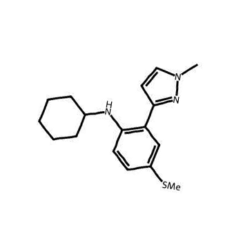 CSc1ccc(NC2CCCCC2)c(-c2ccn(C)n2)c1